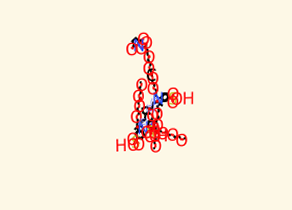 COCCOCCOCCOCC[N+]1=C(/C=C/C2=C(Oc3ccc(S(=O)(=O)O)cc3)C(=C/C=C3/N(CCOCCOCCOCCOCCC(=O)ON4C(=O)CCC4=O)c4ccc(S(=O)(=O)O)cc4C3(C)CCOCCOCCOCCOC)/CCC2)C(C)(CCOCCOCCOCCOC)c2cc(S(=O)(=O)O)ccc21